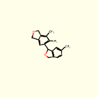 Cc1ccc2c(c1)C(c1cc3c(c(C)c1C)COC3)OC2